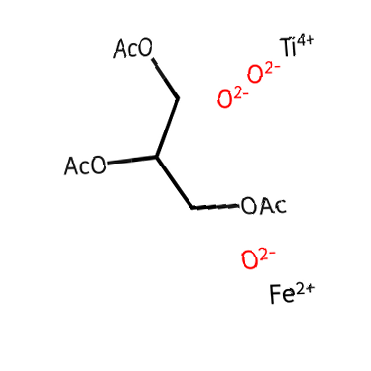 CC(=O)OCC(COC(C)=O)OC(C)=O.[Fe+2].[O-2].[O-2].[O-2].[Ti+4]